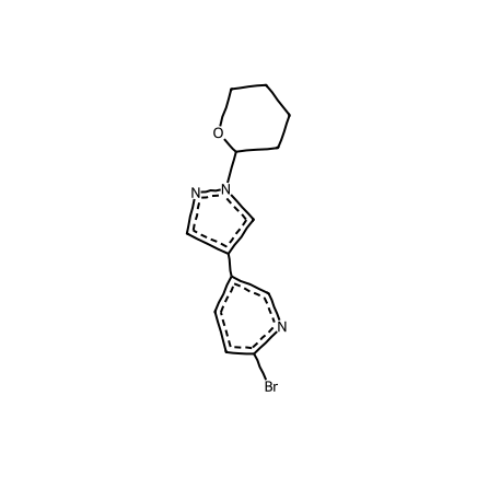 Brc1ccc(-c2cnn(C3CCCCO3)c2)cn1